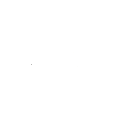 Cc1cc2c3c(c1)[nH]c(=O)c(=O)n3C(CC(=O)Nc1ccccc1)CS2